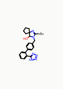 CCCCC1=NC2(CCCC2)C(O)N1Cc1ccc(-c2ccccc2-c2nnn[nH]2)cc1